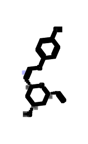 C=C[C@@H]1C[C@H](O)C[C@H](/C=C\Oc2ccc(O)cc2)O1